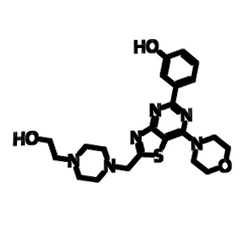 OCCN1CCN(Cc2nc3nc(-c4cccc(O)c4)nc(N4CCOCC4)c3s2)CC1